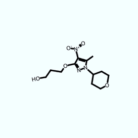 Cc1c([N+](=O)[O-])c(OCCCO)nn1C1CCOCC1